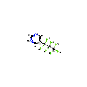 FC(F)(F)C(F)(F)C(F)(F)c1[c]ncnc1